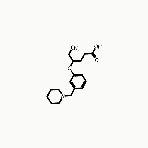 CCC(CCC(=O)O)Oc1cccc(CN2CCCCC2)c1